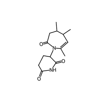 CC1=CC(C)C(C)CC(=O)N1C1CCC(=O)NC1=O